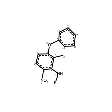 CCNc1c([N+](=O)[O-])ccc(Oc2ccccc2)c1C